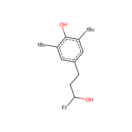 CCC(O)CCc1cc(C(C)(C)C)c(O)c(C(C)(C)C)c1